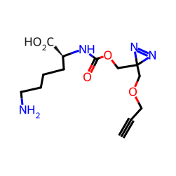 C#CCOCC1(COC(=O)N[C@@H](CCCCN)C(=O)O)N=N1